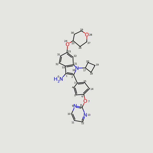 Nc1c(-c2ccc(Oc3ncccn3)cc2)n(C2CCC2)c2cc(OC3CCOCC3)ccc12